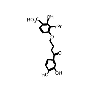 CCCc1c(OCCCC(=O)c2ccc(O)c(O)c2)ccc(C(=O)O)c1O